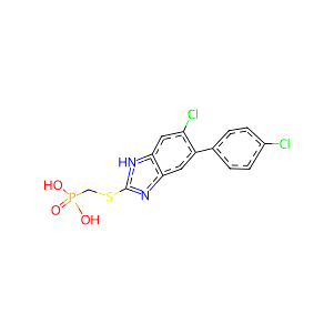 O=P(O)(O)CSc1nc2cc(-c3ccc(Cl)cc3)c(Cl)cc2[nH]1